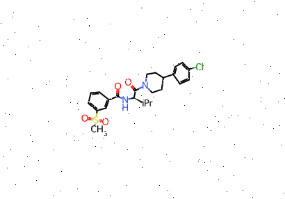 CC(C)[C@@H](NC(=O)c1cccc(S(C)(=O)=O)c1)C(=O)N1CCC(c2ccc(Cl)cc2)CC1